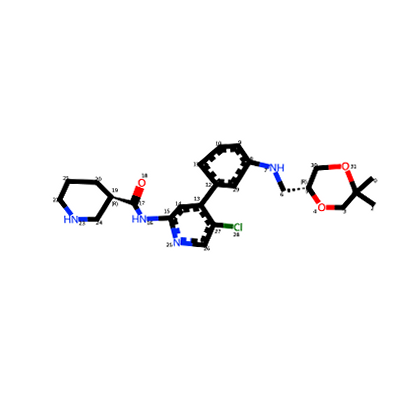 CC1(C)CO[C@H](CNc2cccc(-c3cc(NC(=O)[C@@H]4CCCNC4)ncc3Cl)c2)CO1